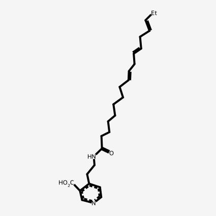 CCC=CCC=CCC=CCCCCCCCC(=O)NCCc1ccncc1C(=O)O